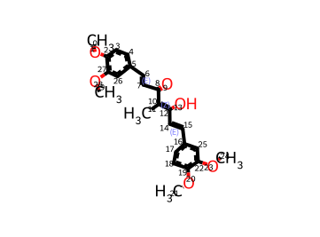 COc1ccc(/C=C/C(=O)/C(C)=C(O)/C=C/c2ccc(OC)c(OC)c2)cc1OC